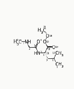 CNCC(=O)N[C@@H](CC(C)C)C(=O)OOC